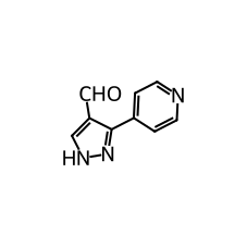 O=Cc1c[nH]nc1-c1ccncc1